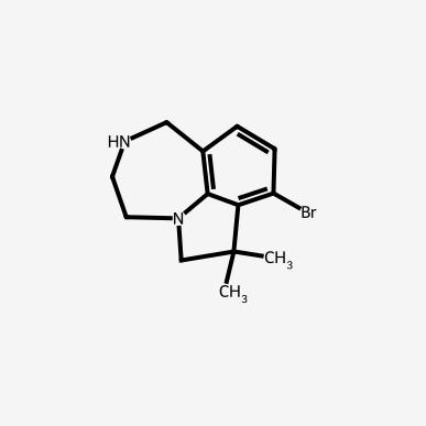 CC1(C)CN2CCNCc3ccc(Br)c1c32